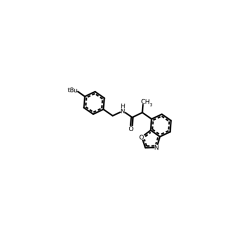 CC(C(=O)NCc1ccc(C(C)(C)C)cc1)c1cccc2ncoc12